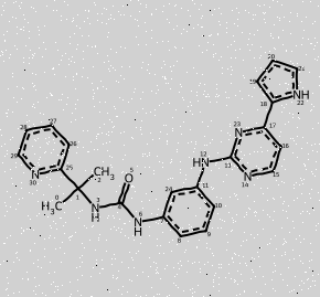 CC(C)(NC(=O)Nc1cccc(Nc2nccc(-c3ccc[nH]3)n2)c1)c1ccccn1